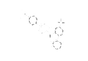 CS(=O)(=O)c1ccc(-c2ccccc2)c(C(=O)N2CCN(c3ccc(C(F)(F)F)cc3)CC2)c1